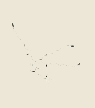 C#CCOCCOCCNC(=O)CCC(CCC(=O)NCCOCCOCC#C)(CCC(=O)NCCOCCOCC#C)NC(=O)C(=C)CCOP(=O)(O)C(C)(C)C